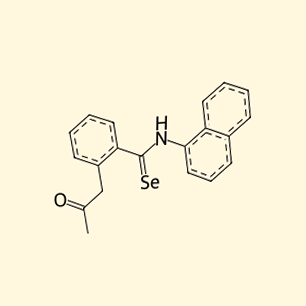 CC(=O)Cc1ccccc1C(=[Se])Nc1cccc2ccccc12